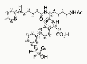 CC(=O)NCCCC[C@H](NC(=O)CCCCNc1ccccn1)C(=O)NC(CC(=O)O)c1ccc(-c2ccccc2)cc1.O=C(O)C(F)(F)F